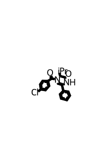 CC(C)C1C(=O)NC(c2ccccc2)=CN1C(=O)c1ccc(Cl)cc1